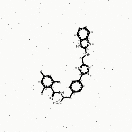 Cc1cc(C)c(C(=O)NC(Cc2ccc(-c3nc(CNc4nc5ccccc5[nH]4)ns3)cc2)C(=O)O)c(C)c1